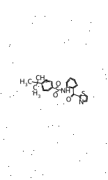 CC(C)(C)c1ccc(S(=O)(=O)Nc2ccccc2C(=O)c2nccs2)cc1